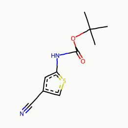 CC(C)(C)OC(=O)Nc1cc(C#N)cs1